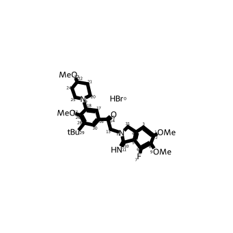 Br.COc1cc2c(c(F)c1OC)C(=N)N(CC(=O)c1cc(N3CCC(OC)CC3)c(OC)c(C(C)(C)C)c1)C2